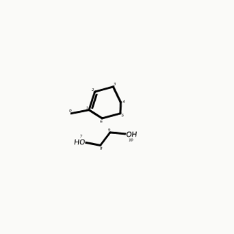 CC1=CCCCC1.OCCO